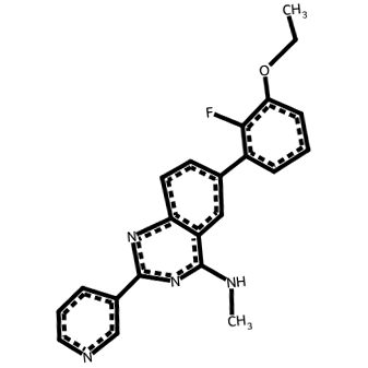 CCOc1cccc(-c2ccc3nc(-c4cccnc4)nc(NC)c3c2)c1F